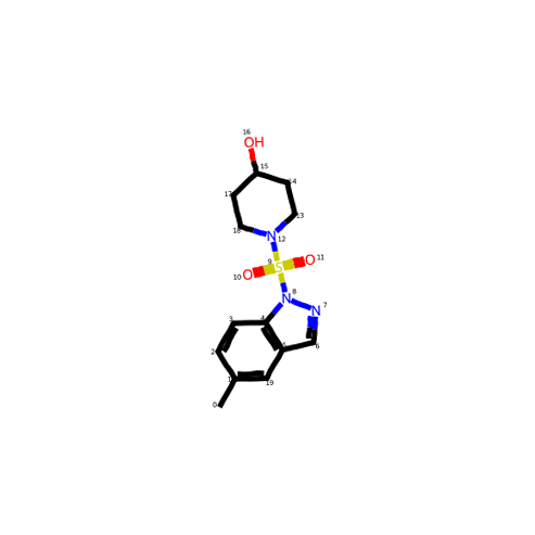 Cc1ccc2c(cnn2S(=O)(=O)N2CCC(O)CC2)c1